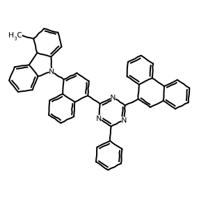 CC1C=CC=C2C1c1ccccc1N2c1ccc(-c2nc(-c3ccccc3)nc(-c3cc4ccccc4c4ccccc34)n2)c2ccccc12